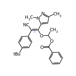 Cc1cc(/C(OC(C)OC(=O)c2ccccc2)=C(\C#N)c2ccc(C(C)(C)C)cc2)n(C)n1